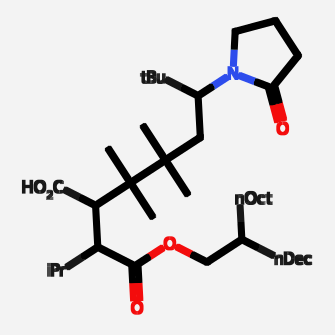 CCCCCCCCCCC(CCCCCCCC)COC(=O)C(C(C)C)C(C(=O)O)C(C)(C)C(C)(C)CC(N1CCCC1=O)C(C)(C)C